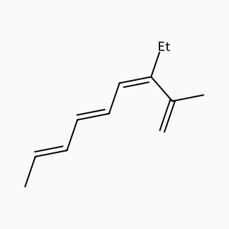 C=C(C)C(=CC=CC=CC)CC